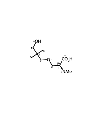 CN[C@@H](COCC(C)(C)CO)C(=O)O